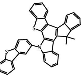 CC1(C)c2ccccc2-c2c1c1c3ccccc3n(-c3ccc4sc5ccccc5c4c3)c1c1sc3ccccc3c21